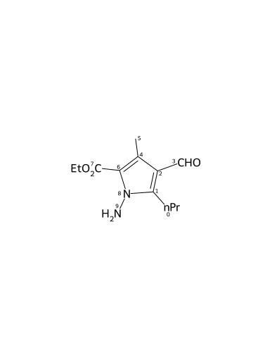 CCCc1c(C=O)c(C)c(C(=O)OCC)n1N